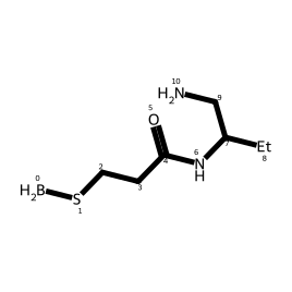 BSCCC(=O)NC(CC)CN